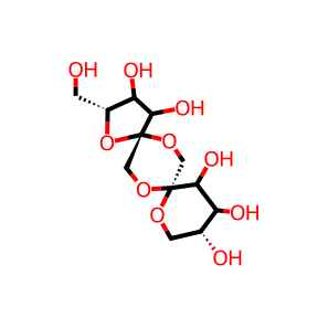 OC[C@H]1O[C@]2(CO[C@]3(CO2)OC[C@@H](O)C(O)C3O)C(O)C1O